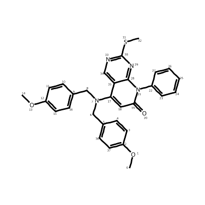 COc1ccc(CN(Cc2ccc(OC)cc2)c2cc(=O)n(-c3ccccc3)c3nc(SC)ncc23)cc1